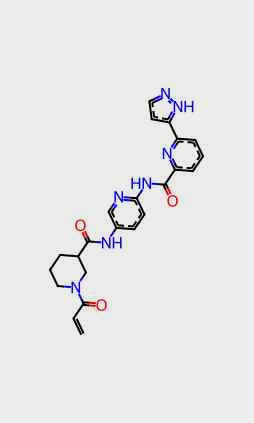 C=CC(=O)N1CCCC(C(=O)Nc2ccc(NC(=O)c3cccc(-c4ccn[nH]4)n3)nc2)C1